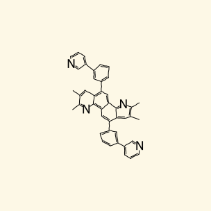 Cc1cc2c(-c3cccc(-c4cccnc4)c3)cc3c(cc(-c4cccc(-c5cccnc5)c4)c4cc(C)c(C)nc43)c2nc1C